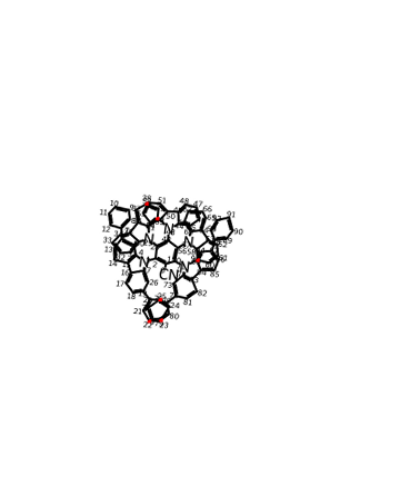 N#Cc1c(-n2c3cc(-c4ccccc4)ccc3c3ccc(-c4ccccc4)cc32)c(-n2c3ccccc3c3ccccc32)c(-n2c3ccccc3c3ccccc32)c(-n2c3ccccc3c3ccccc32)c1-n1c2cc(-c3ccccc3)ccc2c2ccc(-c3ccccc3)cc21